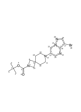 CC(C)(C)OC(=O)N1CC2(CCN(c3cnc4c(Br)cnn4c3)CC2)C1